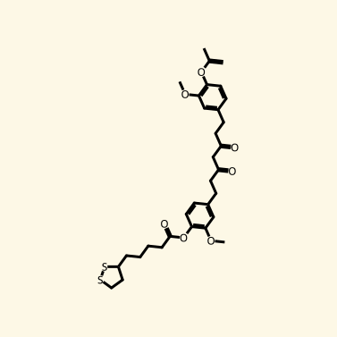 C=C(C)Oc1ccc(CCC(=O)CC(=O)CCc2ccc(OC(=O)CCCCC3CCSS3)c(OC)c2)cc1OC